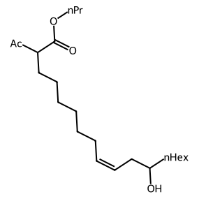 CCCCCCC(O)C/C=C\CCCCCCC(C(C)=O)C(=O)OCCC